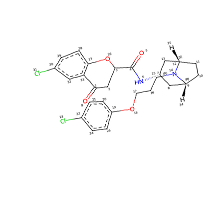 O=C1CC(C(=O)N[C@H]2C[C@H]3CC[C@@H](C2)N3CCCOc2ccc(Cl)cc2)Oc2ccc(Cl)cc21